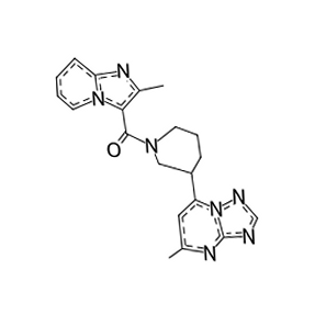 Cc1cc(C2CCCN(C(=O)c3c(C)nc4ccccn34)C2)n2ncnc2n1